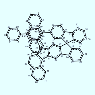 c1ccc(-c2c3ccccc3c(-c3ccc4c(c3)C3(c5ccccc5-c5cc6c7c8ccccc8ccc7n(-c7ccccc7)c6cc53)c3cncnc3-4)c3ccccc23)cc1